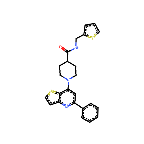 O=C(NCc1cccs1)C1CCN(c2cc(-c3ccccc3)nc3ccsc23)CC1